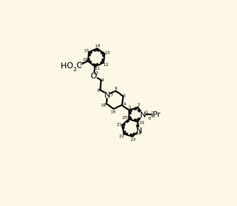 CC(C)n1cc(C2CCN(CCOc3ccccc3C(=O)O)CC2)c2cccnc21